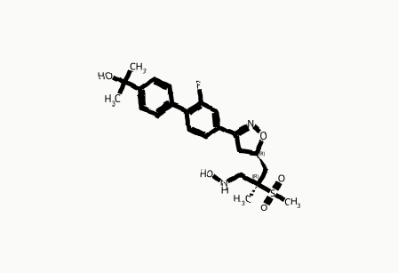 CC(C)(O)c1ccc(-c2ccc(C3=NO[C@@H](C[C@](C)(CNO)S(C)(=O)=O)C3)cc2F)cc1